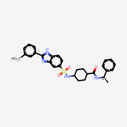 C[C@@H](NC(=O)C1CCC(NS(=O)(=O)c2ccc3[nH]c(-c4cccc(C(=O)O)c4)nc3c2)CC1)c1ccccc1